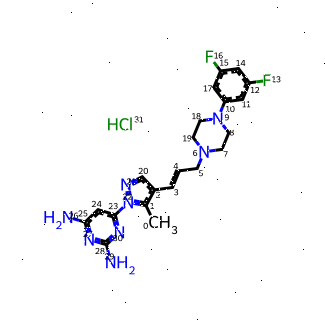 Cc1c(C=CCN2CCN(c3cc(F)cc(F)c3)CC2)cnn1-c1cc(N)nc(N)n1.Cl